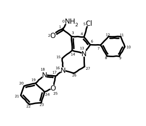 NC(=O)c1c(Cl)c(-c2ccccc2)n2c1CN(c1nc3ccccc3o1)CC2